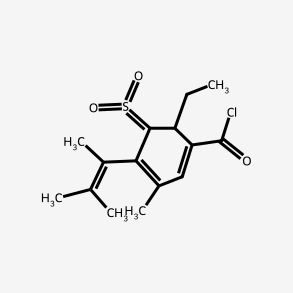 CCC1C(C(=O)Cl)=CC(C)=C(C(C)=C(C)C)C1=S(=O)=O